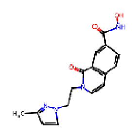 Cc1ccn(CCn2ccc3ccc(C(=O)NO)cc3c2=O)n1